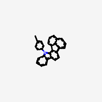 Cc1ccc(-n2c3ccccc3c3ccc4c(c32)-c2cccc3cccc-4c23)cc1